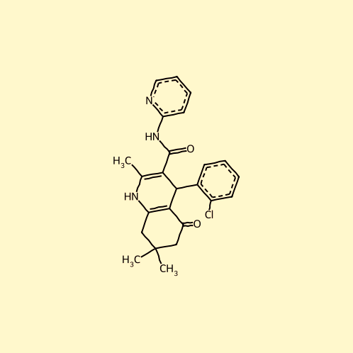 CC1=C(C(=O)Nc2ccccn2)C(c2ccccc2Cl)C2=C(CC(C)(C)CC2=O)N1